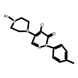 CC(=O)N1CCN(c2cnn(-c3ccc(C)cc3)c(=O)c2Cl)CC1